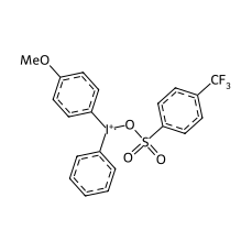 COc1ccc([I+](OS(=O)(=O)c2ccc(C(F)(F)F)cc2)c2ccccc2)cc1